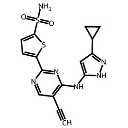 C#Cc1cnc(-c2ccc(S(N)(=O)=O)s2)nc1Nc1cc(C2CC2)n[nH]1